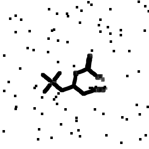 C[N+](C)(C)CC(CC(=O)[O-])OC(=O)C(F)(F)F